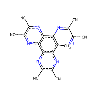 Cc1c(/N=C(/C#N)C(=N)C#N)c2nc(C#N)c(C#N)nc2c2nc(C#N)c(C#N)nc12